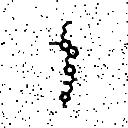 COc1cc2c(Oc3ccc(NC(=O)Cn4cc(C(C)C)nn4)cc3)ncnc2cc1OCCO